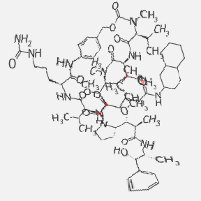 CC[C@H](C)[C@@H]([C@@H](CC(=O)N1CCC[C@H]1[C@H](OC)[C@@H](C)C(=O)N[C@H](C)[C@@H](O)c1ccccc1)OC)N(C)C(=O)[C@@H](NC(=O)[C@H](C(C)C)N(C)C(=O)OCc1ccc(NC(=O)[C@H](CCCNC(N)=O)NC(=O)[C@@H](NC(=O)CCCC(=O)NC2CCC3CCCCC3C2)C(C)C)cc1)C(C)C